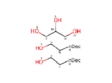 CCCCCCCCCCCCO.CCCCCCCCCCCCO.OCC(O)CO